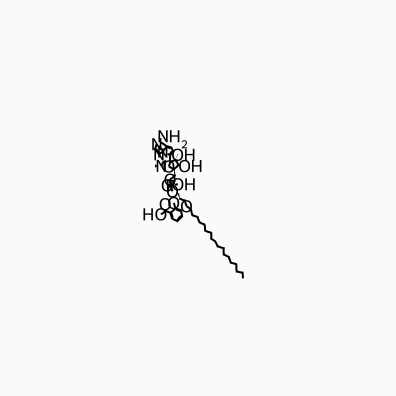 C=NC[C@@]1(c2ccc3c(N)ncnn23)O[C@H](COP(=O)(O)OC[C@@H](COCCCCCCCCCCCCCCCCCC)Oc2ccccc2C(=O)O)[C@@H](O)[C@H]1O